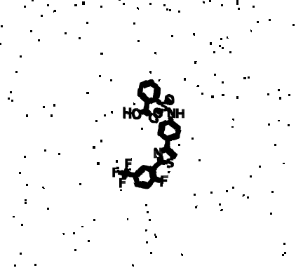 O=C(O)c1ccccc1S(=O)(=O)Nc1ccc(-c2csc(-c3cc(C(F)(F)F)ccc3F)n2)cc1